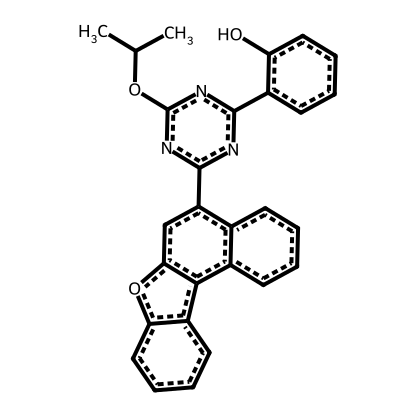 CC(C)Oc1nc(-c2ccccc2O)nc(-c2cc3oc4ccccc4c3c3ccccc23)n1